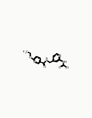 CCC(=O)Nc1cc(CNC(=O)c2ccc(OCC(F)(F)F)nc2)ccn1